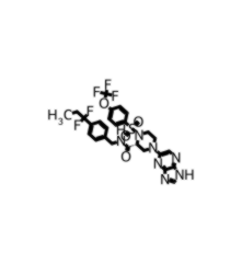 CCC(F)(F)c1ccc(CNC(=O)[C@H]2CN(c3cnc4[nH]cnc4n3)CCN2S(=O)(=O)c2ccc(OC(F)(F)F)cc2)cc1